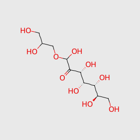 O=C(C(O)OCC(O)CO)[C@H](O)[C@@H](O)[C@H](O)[C@H](O)CO